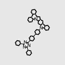 c1ccc(-c2nc(-c3ccccc3)nc(-c3ccc(-c4ccc(-n5c6ccccc6c6cc7cc8c9ccccc9c9ccccc9n8c7cc65)cc4)cc3)n2)cc1